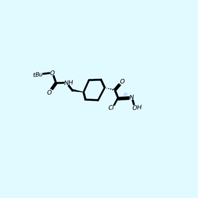 CC(C)(C)OC(=O)NC[C@H]1CC[C@H](C(=O)/C(Cl)=N/O)CC1